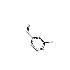 O=Cc1[c]c(Cl)ncc1